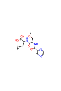 COC[C@@H](NC(=O)c1cnccn1)C(=O)N[C@@H](CC1CC1)B(O)O